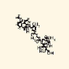 Cc1ccc([C@H](C)CCCC(=O)N(CCS(C)(=O)=O)C[C@H](O)[C@@H](O)[C@H](O)[C@H](O)CO)cc1CNC1(c2cnccc2-c2ccccc2OC2CC2)CC1